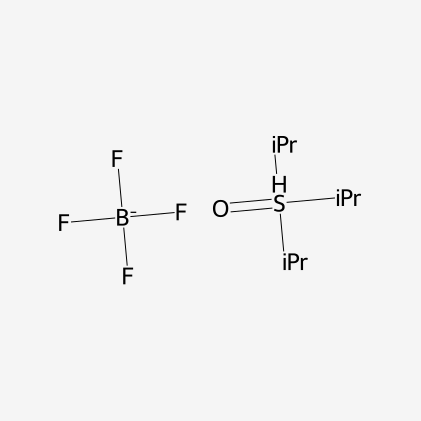 CC(C)[SH](=O)(C(C)C)C(C)C.F[B-](F)(F)F